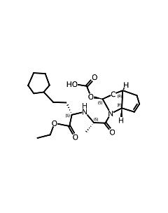 CCOC(=O)[C@H](CCC1CCCCC1)N[C@@H](C)C(=O)N1[C@@H](OC(=O)O)C[C@H]2CC=C[C@@H]21